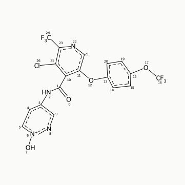 O=C(Nc1cc[n+](O)nc1)c1c(Oc2ccc(OC(F)(F)F)cc2)cnc(C(F)(F)F)c1Cl